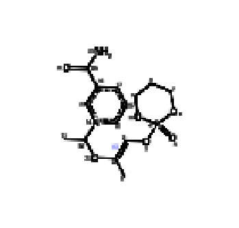 C/C(=C\OP1(=O)OCCCO1)OC(C)[n+]1cccc(C(N)=O)c1